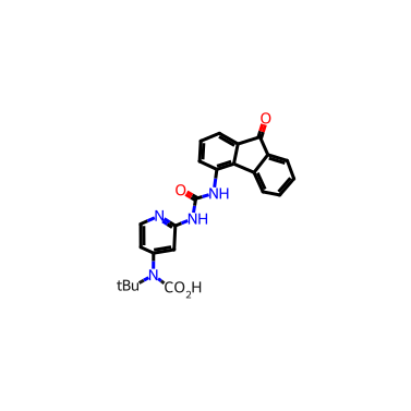 CC(C)(C)N(C(=O)O)c1ccnc(NC(=O)Nc2cccc3c2-c2ccccc2C3=O)c1